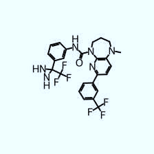 CN1CCCN(C(=O)Nc2cccc(C3(C(F)(F)F)NN3)c2)c2nc(-c3cccc(C(F)(F)F)c3)ccc21